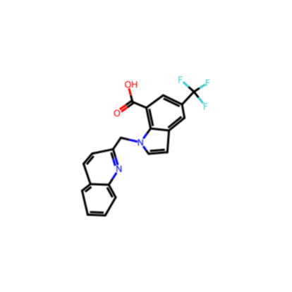 O=C(O)c1cc(C(F)(F)F)cc2ccn(Cc3ccc4ccccc4n3)c12